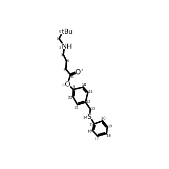 CC(C)(C)CNCCCC(=O)Oc1ccc(CSc2ccccc2)cc1